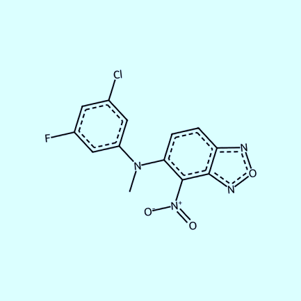 CN(c1cc(F)cc(Cl)c1)c1ccc2nonc2c1[N+](=O)[O-]